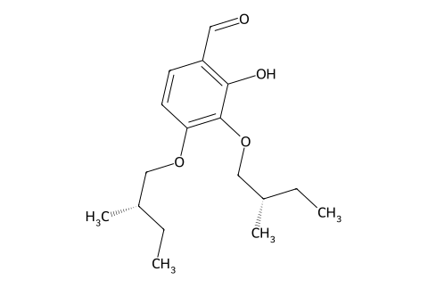 CC[C@H](C)COc1ccc(C=O)c(O)c1OC[C@@H](C)CC